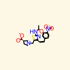 COC(=O)[C@@H]1CCN(Cc2sc(NC(C)=O)nc2/C=C\c2ccc([N+](=O)[O-])cc2)C1